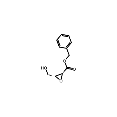 O=C(OCc1ccccc1)[C@H]1O[C@@H]1CO